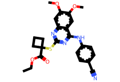 CCOC(=O)C1(Sc2nc(Nc3ccc(C#N)cc3)c3cc(OC)c(OC)cc3n2)CCC1